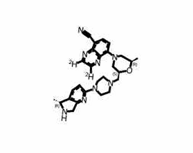 [2H]c1nc2c(C#N)ccc(N3C[C@H](CN4CCN(c5ccc6c(n5)CN[C@@H]6C)CC4)O[C@H](C)C3)c2nc1[2H]